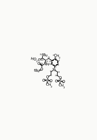 Cc1ccc(N(CCOS(C)(=O)=O)CCOS(C)(=O)=O)cc1C[C@@H](NC(=O)OC(C)(C)C)C(C(=O)O)C(C)(C)C